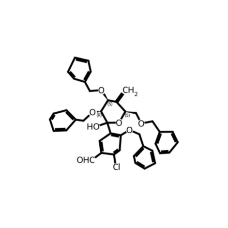 C=C1[C@@H](COCc2ccccc2)OC(O)(c2cc(C=O)c(Cl)cc2OCc2ccccc2)[C@H](OCc2ccccc2)[C@H]1OCc1ccccc1